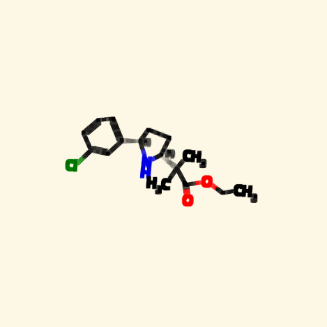 CCOC(=O)C(C)(C)[C@H]1CC[C@@H](c2cccc(Cl)c2)N1